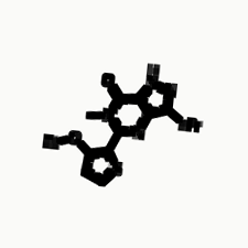 CCCc1n[nH]c2c(=O)n(C)c(-c3sccc3OCC)nc12